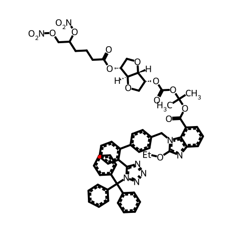 CCOc1nc2cccc(C(=O)OC(C)(C)OC(=O)O[C@@H]3CO[C@@H]4[C@@H]3OC[C@H]4OC(=O)CCCC(CO[N+](=O)[O-])O[N+](=O)[O-])c2n1Cc1ccc(-c2ccccc2-c2nnnn2C(c2ccccc2)(c2ccccc2)c2ccccc2)cc1